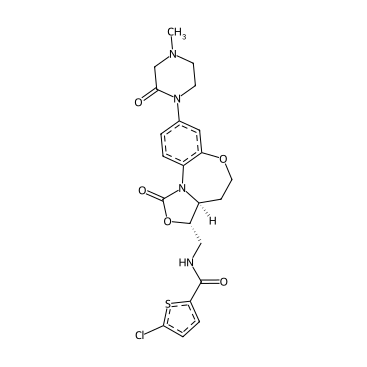 CN1CCN(c2ccc3c(c2)OCC[C@H]2[C@H](CNC(=O)c4ccc(Cl)s4)OC(=O)N32)C(=O)C1